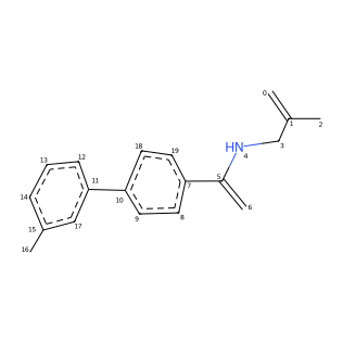 C=C(C)CNC(=C)c1ccc(-c2cccc(C)c2)cc1